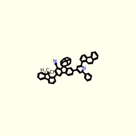 CC1(C)c2ccccc2-c2cccc(-c3cc(C#N)c4c(c3)-c3ccc(-c5cc(-c6ccccc6)nc(-c6cccc7c6ccc6ccccc67)c5)cc3C43C4CC5CC(C4)CC3C5)c21